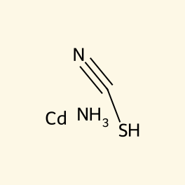 N.N#CS.[Cd]